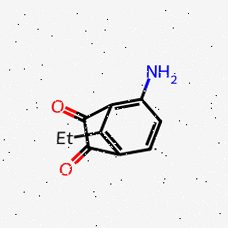 CCc1c2[c]cc(N)c1C(=O)C2=O